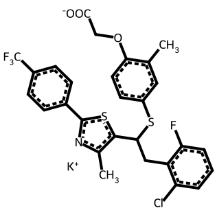 Cc1cc(SC(Cc2c(F)cccc2Cl)c2sc(-c3ccc(C(F)(F)F)cc3)nc2C)ccc1OCC(=O)[O-].[K+]